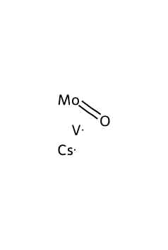 [Cs].[O]=[Mo].[V]